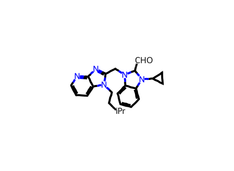 CC(C)CCn1c(CN2c3ccccc3N(C3CC3)C2C=O)nc2ncccc21